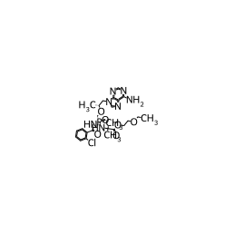 CCOCCOC(=O)C(C)(C)N[P@@](=O)(CO[C@H](C)Cn1cnc2c(N)ncnc21)NC(=O)c1ccccc1Cl